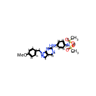 COc1ccc(Cn2ncc3cnc(Nc4ccc(N(S(C)(=O)=O)S(C)(=O)=O)cc4)nc32)cc1